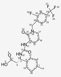 Cc1ccc([C@H](CC(=O)O)NC(=O)Nc2cccn(Cc3ccc(C(F)(F)F)cc3F)c2=O)cc1